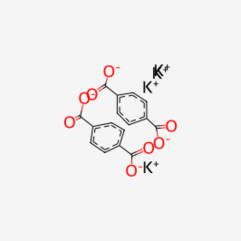 O=C([O-])c1ccc(C(=O)[O-])cc1.O=C([O-])c1ccc(C(=O)[O-])cc1.[K+].[K+].[K+].[K+]